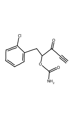 C#CC(=O)C(Cc1ccccc1Cl)OC(N)=O